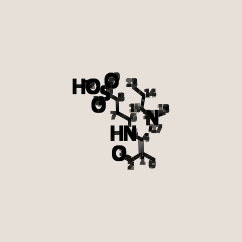 CC(C=O)=CNCCCS(=O)(=O)O.CCCN(C)C